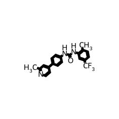 Cc1cc(-c2ccc(NC(=O)Nc3cc(C(F)(F)F)ccc3C)cc2)ccn1